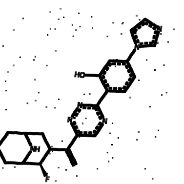 C=C(c1cnc(-c2ccc(-n3ccnc3)cc2O)nn1)C1CC2CCCC(N2)[C@@H]1F